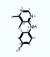 Cc1ncnc(Nc2ccc(F)cc2)c1C